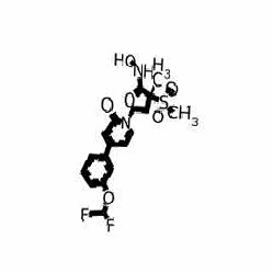 C[C@@](CCn1ccc(-c2cccc(OC(F)F)c2)cc1=O)(C(=O)NO)S(C)(=O)=O